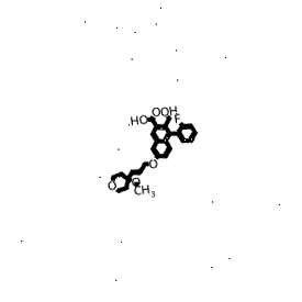 COC1(C=CCOc2ccc3c(-c4ccccc4F)c(CO)c(C(=O)O)cc3c2)CCOCC1